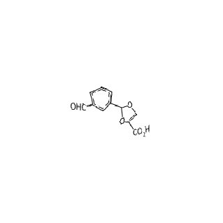 O=Cc1cccc(C2OC=C(C(=O)O)O2)c1